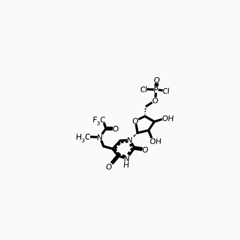 CN(Cc1cn([C@@H]2O[C@H](COP(=O)(Cl)Cl)C(O)C2O)c(=O)[nH]c1=O)C(=O)C(F)(F)F